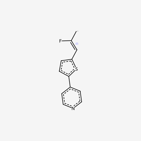 [CH2]/C(F)=C/c1ccc(-c2ccncc2)s1